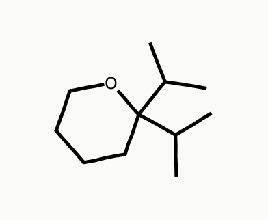 CC(C)C1(C(C)C)CCCCO1